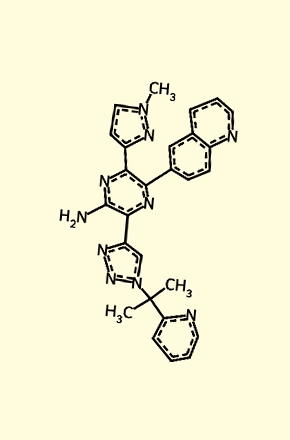 Cn1ccc(-c2nc(N)c(-c3cn(C(C)(C)c4ccccn4)nn3)nc2-c2ccc3ncccc3c2)n1